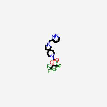 O=C(OC(C(F)(F)F)C(F)(F)F)N1CCC2(CCN(Cc3cccnn3)C2)CC1